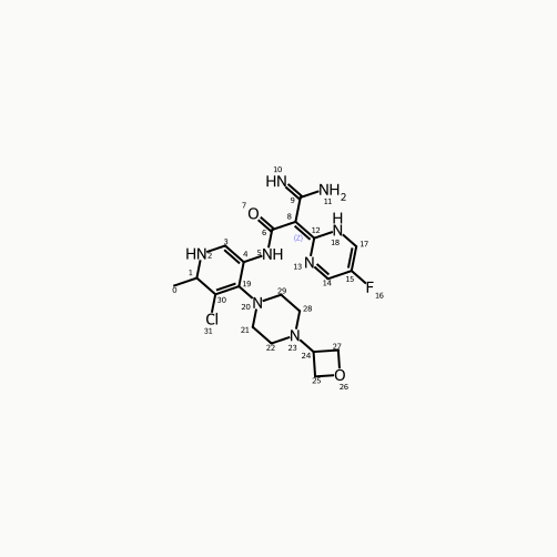 CC1NC=C(NC(=O)/C(C(=N)N)=C2\N=CC(F)=CN2)C(N2CCN(C3COC3)CC2)=C1Cl